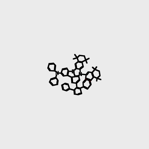 CC1(C)CCC(C)(C)c2cc(N3c4cc5c(cc4B4c6ccc(N(c7ccccc7)c7ccccc7)cc6-c6cc(-c7c(-c8ccccc8)cccc7-c7ccccc7)cc3c64)C(C)(C)CCC5(C)C)ccc21